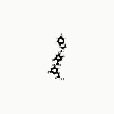 O=C(O)Cc1cc(F)cc(NC(=O)c2cc(Cl)c(OC[C@H]3COc4cc(F)ccc4O3)cc2F)c1